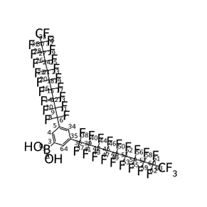 OB(O)c1cc(C(F)(F)C(F)(F)C(F)(F)C(F)(F)C(F)(F)C(F)(F)C(F)(F)C(F)(F)C(F)(F)C(F)(F)F)cc(C(F)(F)C(F)(F)C(F)(F)C(F)(F)C(F)(F)C(F)(F)C(F)(F)C(F)(F)C(F)(F)C(F)(F)F)c1